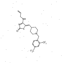 C=CCNC1=NC(=O)S/C1=C\C1CCN(Cc2ccc(C(F)(F)F)cc2C(F)(F)F)CC1